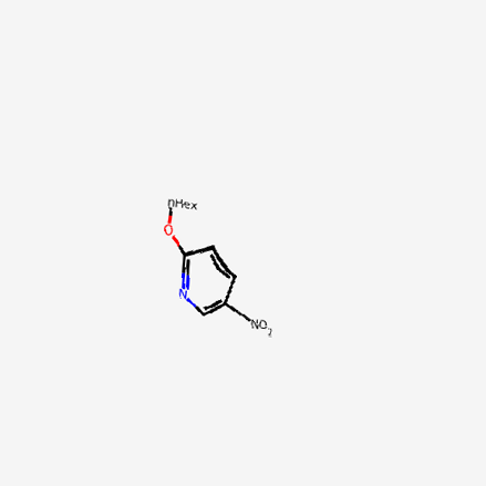 CCCCCCOc1ccc([N+](=O)[O-])cn1